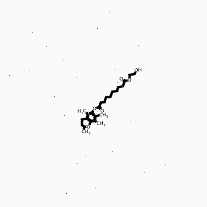 Cc1c(C)c2c(c(C)c1OC(=O)CCCCCCCCC(=O)OCCO)CCC(C)O2